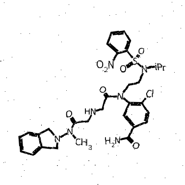 CC(C)N(CCN(C(=O)CNCC(=O)N(C)N1Cc2ccccc2C1)c1cc(C(N)=O)ccc1Cl)S(=O)(=O)c1ccccc1[N+](=O)[O-]